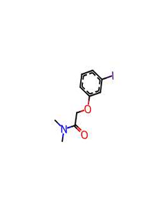 CN(C)C(=O)COc1cccc(I)c1